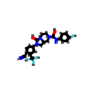 N#Cc1ccc(N2CC3CN(C(=O)Nc4ccc(F)cc4)CCN3C2=O)cc1C(F)(F)F